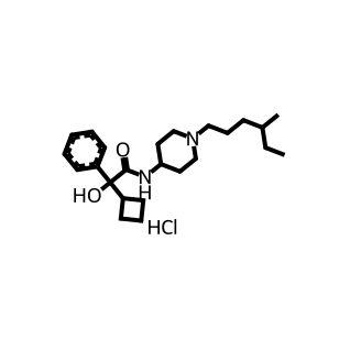 CCC(C)CCCN1CCC(NC(=O)C(O)(c2ccccc2)C2CCC2)CC1.Cl